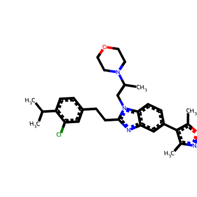 Cc1noc(C)c1-c1ccc2c(c1)nc(CCc1ccc(C(C)C)c(Cl)c1)n2CC(C)N1CCOCC1